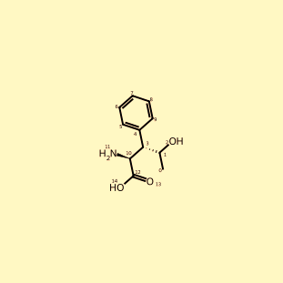 CC(O)[C@@H](c1ccccc1)[C@H](N)C(=O)O